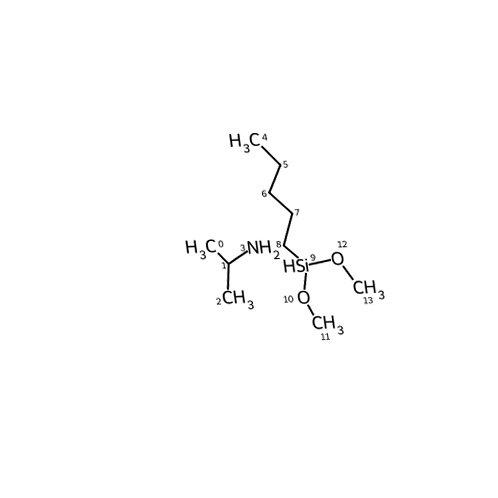 CC(C)N.CCCCC[SiH](OC)OC